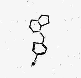 [C-]#[N+]c1ccc(CN2CCCN3CCCC32)cc1